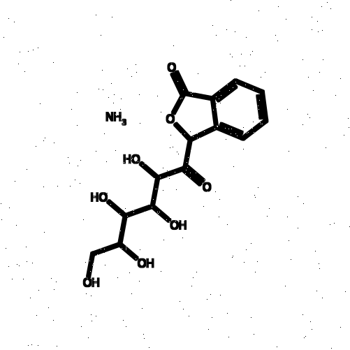 N.O=C1OC(C(=O)C(O)C(O)C(O)C(O)CO)c2ccccc21